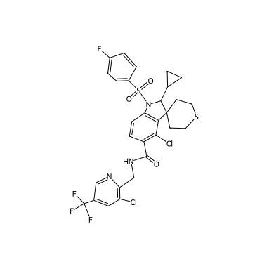 O=C(NCc1ncc(C(F)(F)F)cc1Cl)c1ccc2c(c1Cl)C1(CCSCC1)C(C1CC1)N2S(=O)(=O)c1ccc(F)cc1